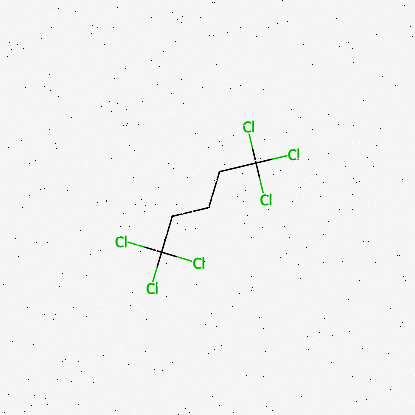 ClC(Cl)(Cl)CCCC(Cl)(Cl)Cl